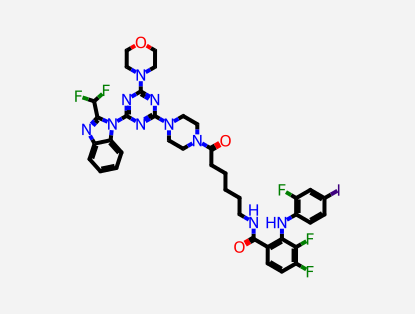 O=C(NCCCCCC(=O)N1CCN(c2nc(N3CCOCC3)nc(-n3c(C(F)F)nc4ccccc43)n2)CC1)c1ccc(F)c(F)c1Nc1ccc(I)cc1F